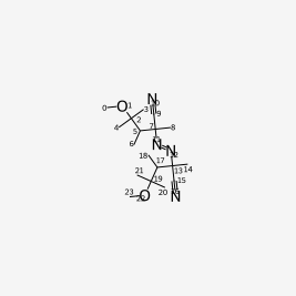 COC(C)(C)C(C)C(C)(C#N)N=NC(C)(C#N)C(C)C(C)(C)OC